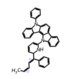 C/C=C\C=C(/c1ccccc1)C1C=CC=C(n2c3ccccc3c3ccc4c(c5ccccc5n4-c4ccccc4)c32)N1